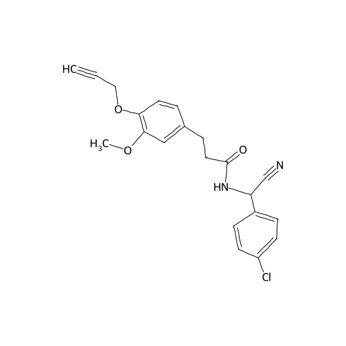 C#CCOc1ccc(CCC(=O)NC(C#N)c2ccc(Cl)cc2)cc1OC